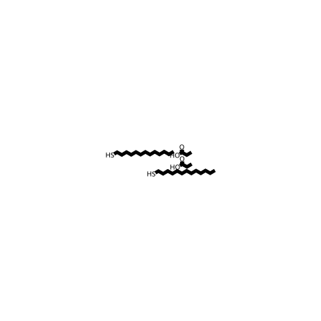 CCC(=O)O.CCC(=O)O.CCCCCCCCCCCCCS.CCCCCCCCCCCCCS